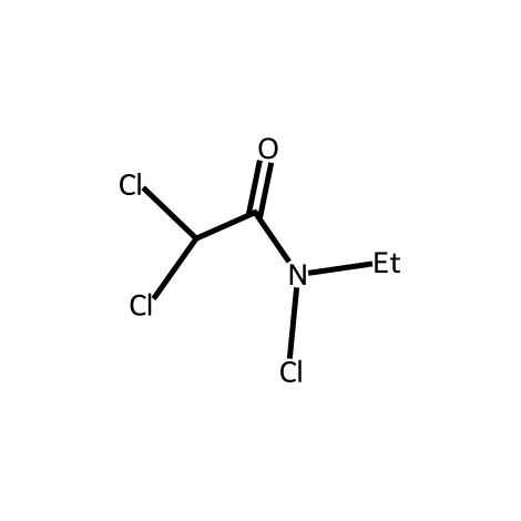 CCN(Cl)C(=O)C(Cl)Cl